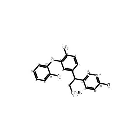 CCOC(=O)CC(c1ccc(C(F)(F)F)c(Oc2ccccc2Cl)c1)c1ccc(Cl)nn1